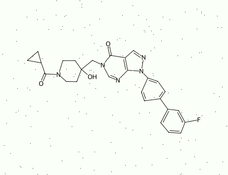 O=C(C1CC1)N1CCC(O)(Cn2cnc3c(cnn3-c3ccc(-c4cccc(F)c4)cc3)c2=O)CC1